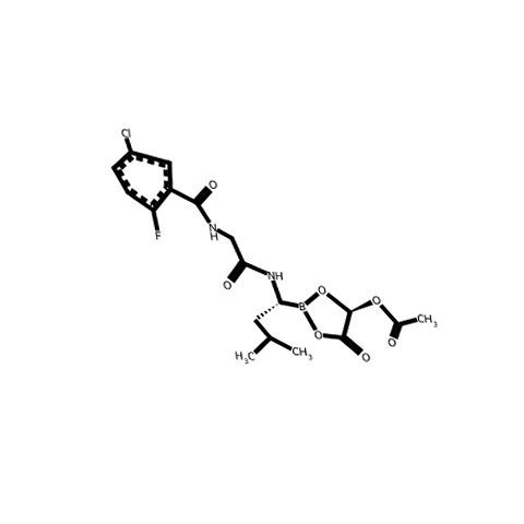 CC(=O)O[C@@H]1OB([C@H](CC(C)C)NC(=O)CNC(=O)c2cc(Cl)ccc2F)OC1=O